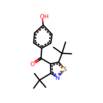 CC(C)(C)c1nsc(C(C)(C)C)c1C(=O)c1ccc(O)cc1